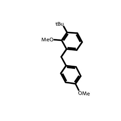 COc1ccc(Cc2cccc(C(C)(C)C)c2OC)cc1